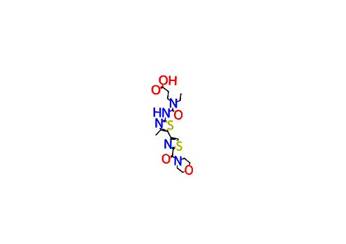 CCN(CCC(=O)O)C(=O)Nc1nc(C)c(-c2csc(C(=O)N3CCOCC3)n2)s1